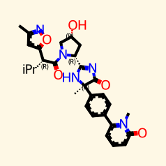 Cc1cc([C@H](C(=O)N2C[C@H](O)C[C@@H]2C2=NC(=O)[C@@](C)(c3ccc(-c4cccc(=O)n4C)cc3)N2)C(C)C)on1